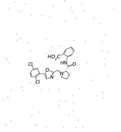 O=C(O)c1ccccc1NC(=O)[C@@H]1CCCN1Cc1ncc(-c2cc(Cl)ccc2Cl)o1